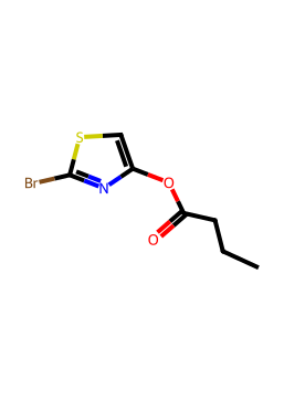 CCCC(=O)Oc1csc(Br)n1